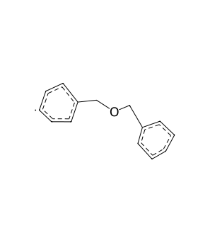 [c]1ccc(COCc2ccccc2)cc1